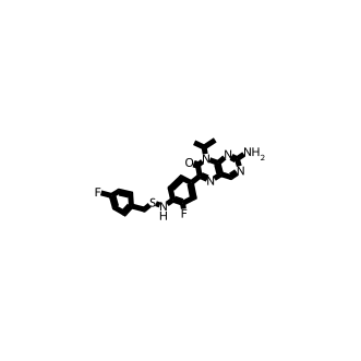 CC(C)n1c(=O)c(-c2ccc(NSCc3ccc(F)cc3)c(F)c2)nc2cnc(N)nc21